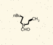 C=CCN([C]=O)CCCCCC